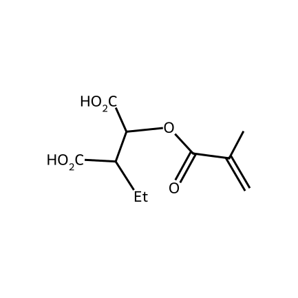 C=C(C)C(=O)OC(C(=O)O)C(CC)C(=O)O